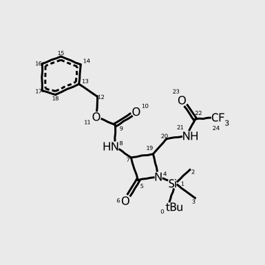 CC(C)(C)[Si](C)(C)N1C(=O)C(NC(=O)OCc2ccccc2)C1CNC(=O)C(F)(F)F